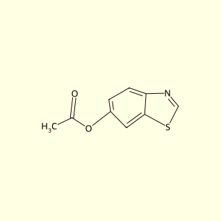 CC(=O)Oc1ccc2ncsc2c1